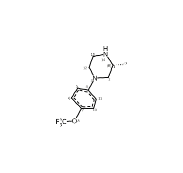 C[C@@H]1CN(c2ccc(OC(F)(F)F)cc2)CCN1